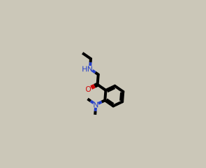 CCNCC(=O)c1ccccc1N(C)C